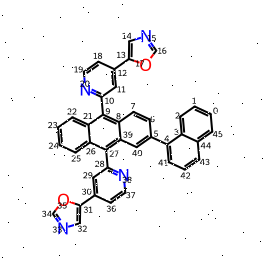 c1ccc2c(-c3ccc4c(-c5cc(-c6cnco6)ccn5)c5ccccc5c(-c5cc(-c6cnco6)ccn5)c4c3)cccc2c1